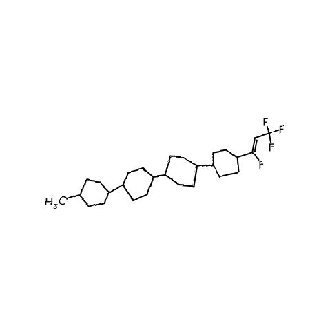 CC1CCC(C2CCC(C3CCC(C4CCC(/C(F)=C/C(F)(F)F)CC4)CC3)CC2)CC1